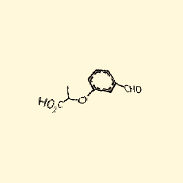 CC(Oc1cccc(C=O)c1)C(=O)O